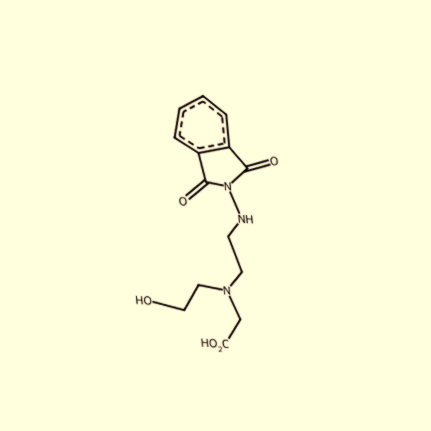 O=C(O)CN(CCO)CCNN1C(=O)c2ccccc2C1=O